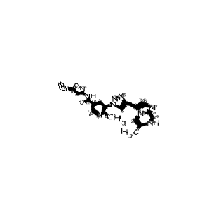 CC1=Cn2c(-c3cn(-c4cc(C(=O)Nc5cc(C(C)(C)C)on5)cnc4C)nn3)cnc2CN1